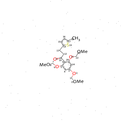 COCOc1cc(OCOC)c(C(=O)CCc2ccc(C)s2)c(OCOC)c1